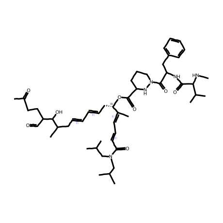 CNC(C(=O)NC(Cc1ccccc1)C(=O)N1CCCC(C(=O)O[C@@H](C/C=C/C=C/CC(C)C(O)C(C=O)CCC(C)=O)/C(C)=C/C=C/C(=O)N(CC(C)C)CC(C)C)N1)C(C)C